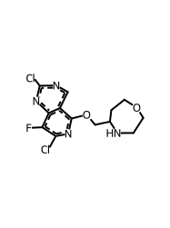 Fc1c(Cl)nc(OCC2CCOCCN2)c2cnc(Cl)nc12